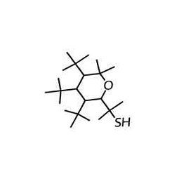 CC(C)(C)C1C(C(C)(C)C)C(C(C)(C)C)C(C)(C)OC1C(C)(C)S